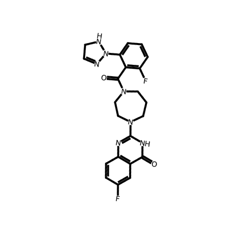 O=C(c1c(F)cccc1N1N=CCN1)N1CCCN(c2nc3ccc(F)cc3c(=O)[nH]2)CC1